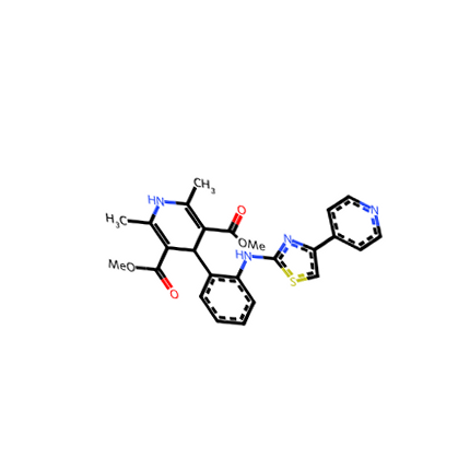 COC(=O)C1=C(C)NC(C)=C(C(=O)OC)C1c1ccccc1Nc1nc(-c2ccncc2)cs1